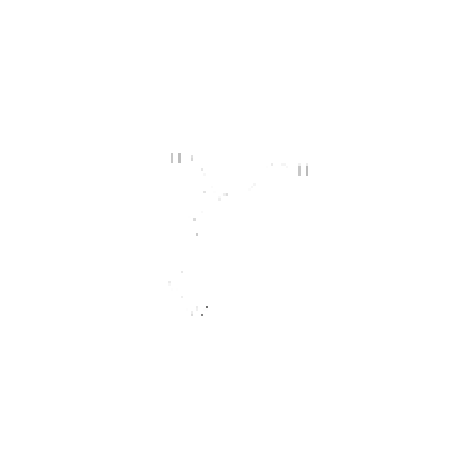 CSOCCN(C)CC(=O)O